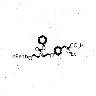 CCCCCOCCN(CCOc1ccc(CC(OCC)C(=O)O)cc1)C(=O)Oc1ccccc1